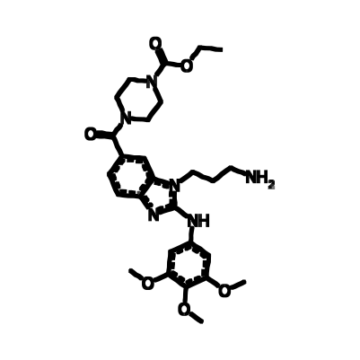 CCOC(=O)N1CCN(C(=O)c2ccc3nc(Nc4cc(OC)c(OC)c(OC)c4)n(CCCN)c3c2)CC1